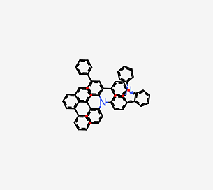 c1ccc(-c2ccc(N(c3ccc4c5ccccc5n(-c5ccccc5)c4c3)c3ccccc3-c3cccc4cccc(-c5ccccc5)c34)c(-c3ccccc3)c2)cc1